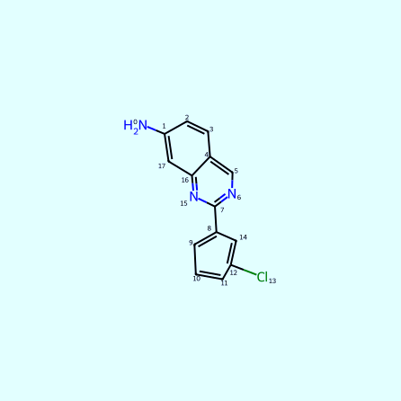 Nc1ccc2cnc(-c3cccc(Cl)c3)nc2c1